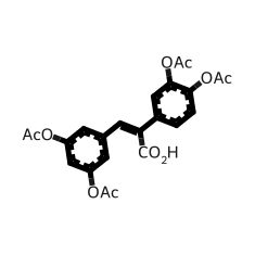 CC(=O)Oc1cc(/C=C(\C(=O)O)c2ccc(OC(C)=O)c(OC(C)=O)c2)cc(OC(C)=O)c1